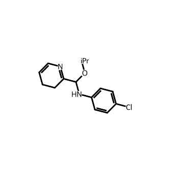 CC(C)OC(Nc1ccc(Cl)cc1)C1=NC=CCC1